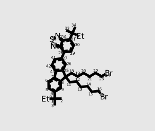 CCC(C)(C)c1ccc2c(c1)C(CCCCCCBr)(CCCCCCBr)c1cc(-c3ccc(C(C)(C)CC)c4nsnc34)ccc1-2